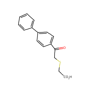 O=C(O)CSCC(=O)c1ccc(-c2ccccc2)cc1